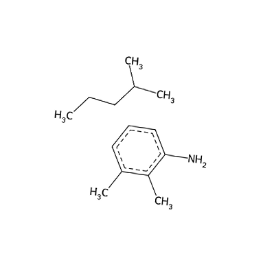 CCCC(C)C.Cc1cccc(N)c1C